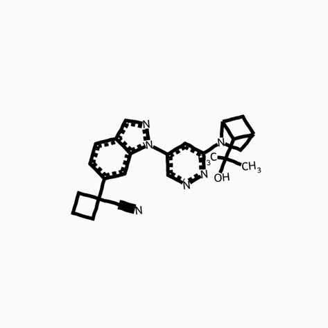 CC(C)(O)C1C2CC1N(c1cc(-n3ncc4ccc(C5(C#N)CCC5)cc43)cnn1)C2